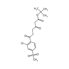 CC(C)(C)OC(=O)CC(=O)CCC(=O)c1ccc(S(C)(=O)=O)cc1Cl